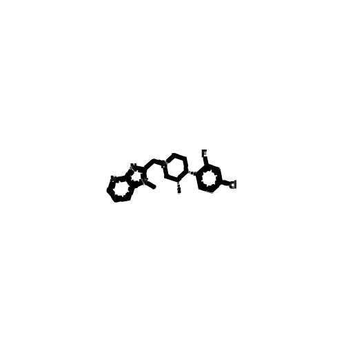 C[C@@H]1CN(Cc2nc3ncccc3n2C)CC[C@@H]1c1ccc(Cl)cc1F